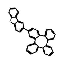 c1ccc2c(c1)-c1ccccc1-c1ccc(-c3ccc4sc5ncccc5c4c3)cc1-c1ccccc1-2